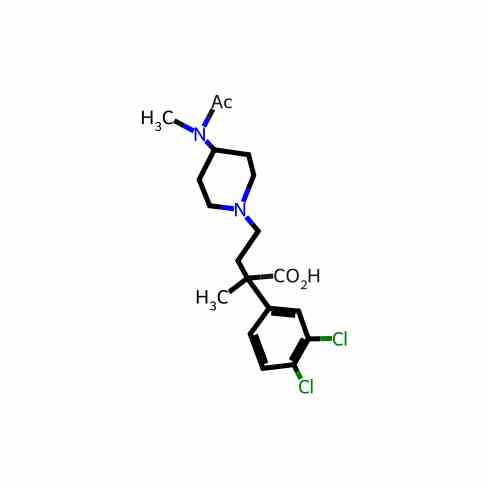 CC(=O)N(C)C1CCN(CCC(C)(C(=O)O)c2ccc(Cl)c(Cl)c2)CC1